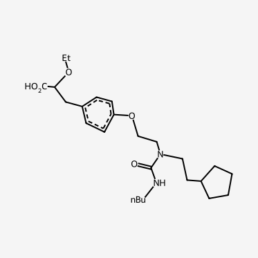 CCCCNC(=O)N(CCOc1ccc(CC(OCC)C(=O)O)cc1)CCC1CCCC1